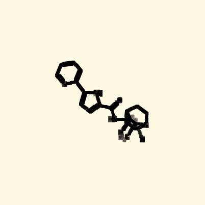 C[C@H]1[C@H](NC(=O)c2ccc(-c3ccccn3)[nH]2)C2CCN1CC2